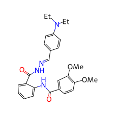 CCN(CC)c1ccc(/C=N/NC(=O)c2ccccc2NC(=O)c2ccc(OC)c(OC)c2)cc1